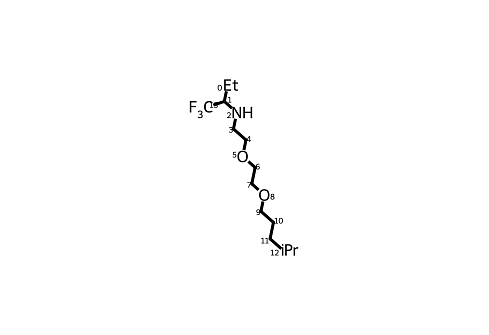 CCC(NCCOCCOCCCC(C)C)C(F)(F)F